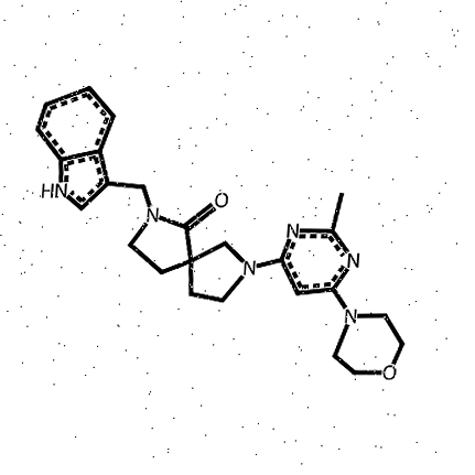 Cc1nc(N2CCOCC2)cc(N2CCC3(CCN(Cc4c[nH]c5ccccc45)C3=O)C2)n1